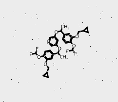 CC(Oc1cncc(OC(C)c2ccc(OC(F)F)c(OCC3CC3)c2)c1)c1ccc(OC(F)F)c(OCC2CC2)c1